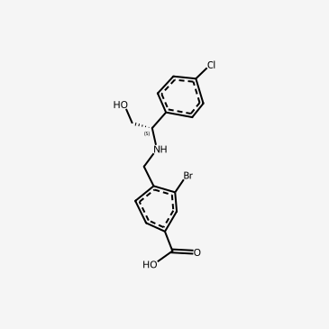 O=C(O)c1ccc(CN[C@H](CO)c2ccc(Cl)cc2)c(Br)c1